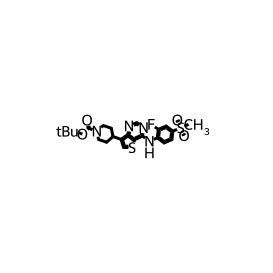 CC(C)(C)OC(=O)N1CCC(c2csc3c(Nc4ccc(S(C)(=O)=O)cc4F)ncnc23)CC1